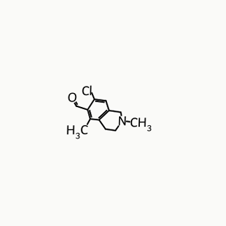 Cc1c(C=O)c(Cl)cc2c1CCN(C)C2